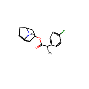 CC(C(=O)OC1CC2CCC(C1)N2C)c1ccc(Cl)cc1